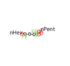 CCCCCCOc1ccc(-c2ccc(-c3ccc(C(F)(F)OC4OCC(CCCCC)CO4)c(F)c3F)cc2)c(F)c1F